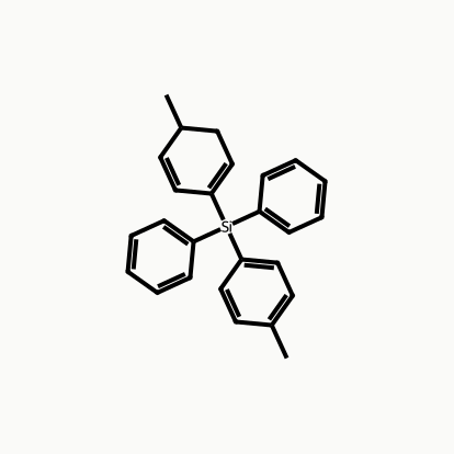 Cc1ccc([Si](C2=CCC(C)C=C2)(c2ccccc2)c2ccccc2)cc1